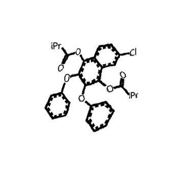 CC(C)C(=O)Oc1c(Oc2ccccc2)c(Oc2ccccc2)c(OC(=O)C(C)C)c2cc(Cl)ccc12